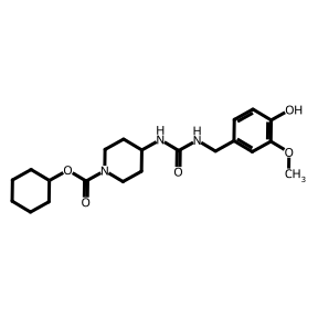 COc1cc(CNC(=O)NC2CCN(C(=O)OC3CCCCC3)CC2)ccc1O